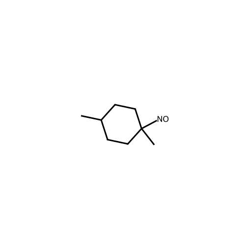 CC1CCC(C)(N=O)CC1